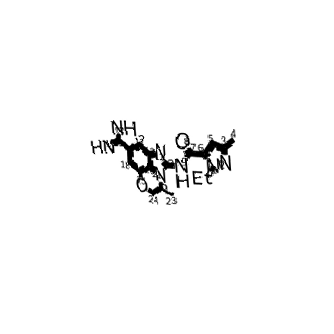 CCn1nc(C)cc1C(=O)Nc1nc2cc(C(=N)N)cc3c2n1[C@@H](C)CO3